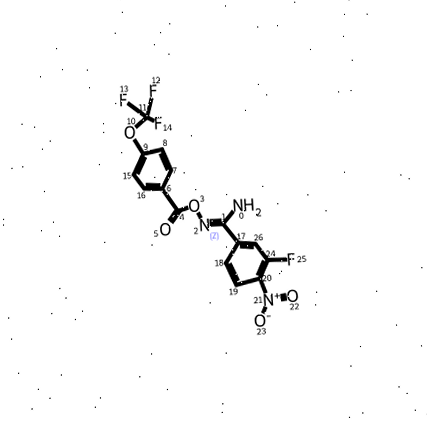 N/C(=N\OC(=O)c1ccc(OC(F)(F)F)cc1)c1ccc([N+](=O)[O-])c(F)c1